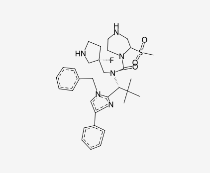 CC(C)(C)[C@H](c1nc(-c2ccccc2)cn1Cc1ccccc1)N(C[C@]1(F)CCNC1)C(=O)N1CCNCC1S(C)(=O)=O